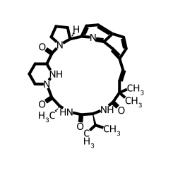 CC(C)[C@@H]1NC(=O)C(C)(C)/C=C/c2ccc3ccc(nc3c2)[C@@H]2CCCN2C(=O)C2CCCN(N2)C(=O)[C@@H](C)NC1=O